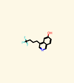 Oc1ccc2cncc(CCCC(F)(F)F)c2c1